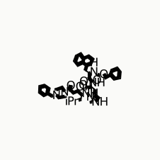 CC(C)C[C@H](NC(=O)[C@H](Cc1c[nH]cn1)NC(=O)[C@@H](Cc1cccc2ccccc12)NC(=O)OCc1ccccc1)[C@@H](O)CC(=O)N1CCN(Cc2ccccc2)CC1